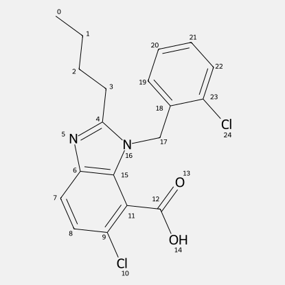 CCCCc1nc2ccc(Cl)c(C(=O)O)c2n1Cc1ccccc1Cl